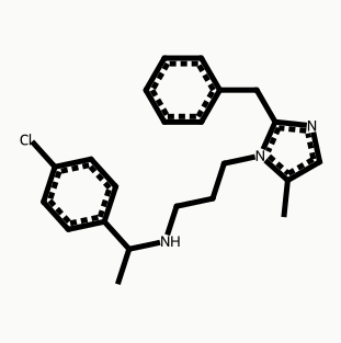 Cc1cnc(Cc2ccccc2)n1CCCNC(C)c1ccc(Cl)cc1